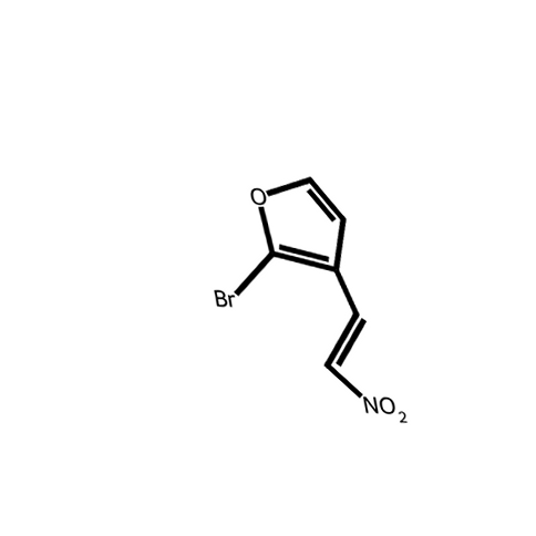 O=[N+]([O-])C=Cc1ccoc1Br